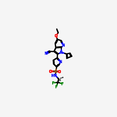 CCOc1cnc2c(c1)c(C#N)c(-c1ccc(S(=O)(=O)N[C@H](C)C(F)(F)F)cn1)n2C1=CC=C1